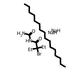 CCC(Br)(CC)C(=O)NC(N)=O.CCCCCCCCCCCCCCCC.[NaH].[NaH]